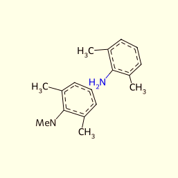 CNc1c(C)cccc1C.Cc1cccc(C)c1N